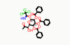 CC(=O)C(O)[C@H]1O[C@H](OC(=N)C(Cl)(Cl)Cl)[C@@H](OC(=O)c2ccccc2)[C@@H](OC(=O)c2ccccc2)[C@@H]1OC(=O)c1ccccc1